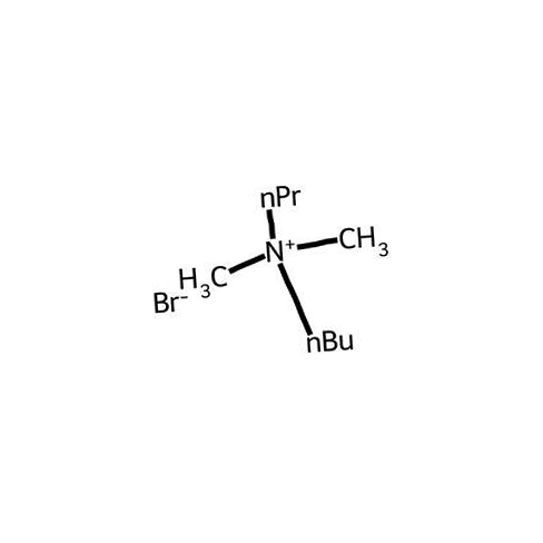 CCCC[N+](C)(C)CCC.[Br-]